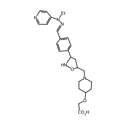 CCN(N=Cc1ccc(C2CC(CN3CCC(OCC(=O)O)CC3)ON2)cc1)c1ccncc1